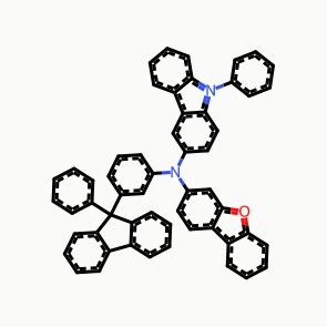 c1ccc(-n2c3ccccc3c3cc(N(c4cccc(C5(c6ccccc6)c6ccccc6-c6ccccc65)c4)c4ccc5c(c4)oc4ccccc45)ccc32)cc1